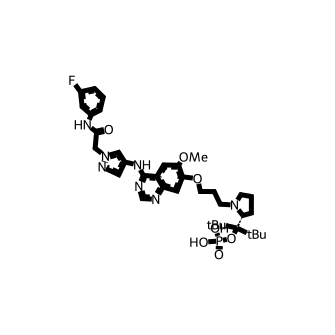 COc1cc2c(Nc3cnn(CC(=O)Nc4cccc(F)c4)c3)ncnc2cc1OCCCN1CCC[C@@H]1C(OP(=O)(O)O)(C(C)(C)C)C(C)(C)C